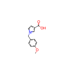 COc1ccc(Cn2ccc(C(=O)O)c2)cc1